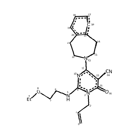 C=CCn1c(NCCOCC)nc(N2CCc3ccccc3CC2)c(C#N)c1=O